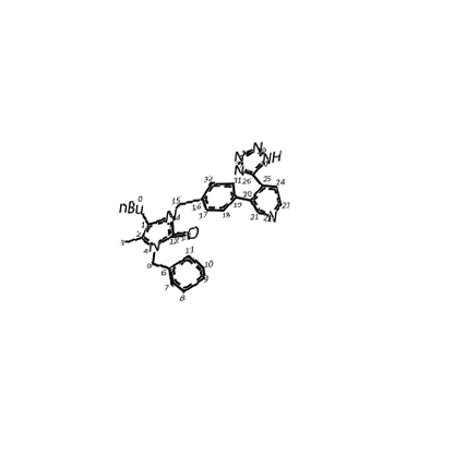 CCCCc1c(C)n(Cc2ccccc2)c(=O)n1Cc1ccc(-c2cnccc2-c2nnn[nH]2)cc1